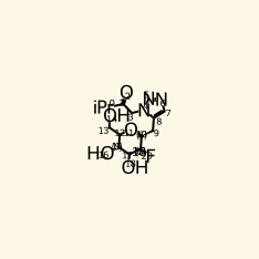 CC(C)C(=O)Cn1nncc1C[C@@H]1OC(CO)[C@@H](O)C(O)[C@@H]1[18F]